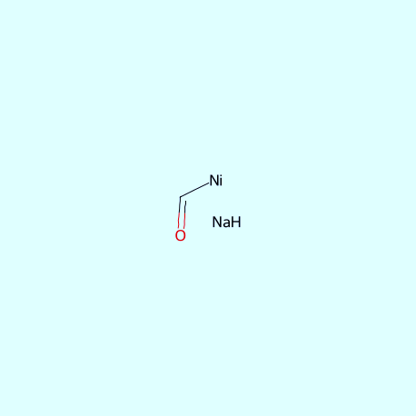 O=[CH][Ni].[NaH]